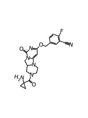 N#Cc1cc(COc2cc3n(c(=O)n2)CC2CN(C(=O)C4(N)CC4)CCN32)ccc1F